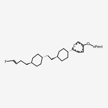 CCCCCOc1ccc([C@H]2CC[C@H](CC[C@H]3CC[C@H](CCC=CF)CC3)CC2)cc1